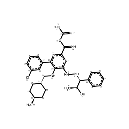 C[C@H](O)[C@H](NNc1nc(C(=N)OC(N)=O)nc(-c2cccc(Cl)c2)c1NC[C@H]1CC[C@H](C)CC1)c1ccccc1